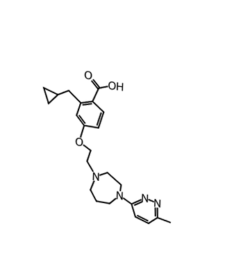 Cc1ccc(N2CCCN(CCOc3ccc(C(=O)O)c(CC4CC4)c3)CC2)nn1